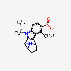 Cn1c2c(c3c(C(=O)[O-])c(S(=O)[O-])ccc31)C1CCC(C2)N1.[Li+].[Li+]